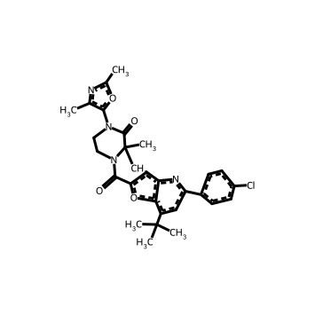 Cc1nc(C)c(N2CCN(C(=O)c3cc4nc(-c5ccc(Cl)cc5)cc(C(C)(C)C)c4o3)C(C)(C)C2=O)o1